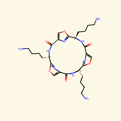 NCCCC[C@@H]1NC(=O)c2coc(n2)[C@@H](CCCCN)NC(=O)c2coc(n2)[C@H](CCCCN)NC(=O)c2coc1n2